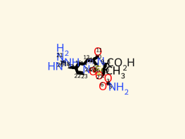 C[C@]1(COC(N)=O)[C@H](C(=O)O)N2C(=O)/C(=C/c3cc(CNC(=N)N)ccn3)C2S1(=O)=O